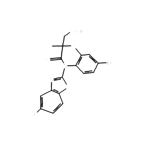 CCc1ccc2c(c1)OC(C)(CC(=O)O)C(=O)N2c1nc2cc(F)ccc2s1